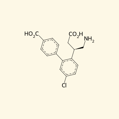 NC[C@H](CC(=O)O)c1ccc(Cl)cc1-c1ccc(C(=O)O)cc1